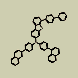 c1ccc(-c2ccc(-c3cccc4c3sc3cc(N(c5ccc(-c6ccc7ccccc7c6)cc5)c5ccc(-c6cccc7ccccc67)cc5)ccc34)cc2)cc1